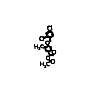 CC(=O)Oc1coc2cc(OCc3ccc(Cl)cc3Cl)c(C)cc12